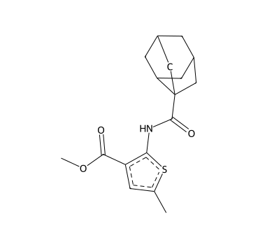 COC(=O)c1cc(C)sc1NC(=O)C12CC3CC(CC1C3)C2